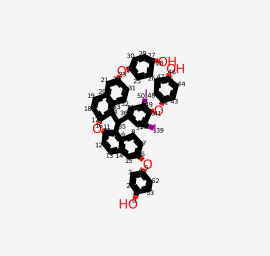 Oc1ccc(Oc2ccc3c4c(ccc3c2)Oc2ccc3cc(Oc5ccc(O)cc5)ccc3c2C4c2cc(I)c(Oc3ccc(O)cc3)c(I)c2)cc1